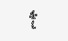 N#Cc1ccc(-c2ccc3cc(-c4ccc5c6c(-c7ccccc7)c7c(cc8c9ccccc9c9cccc7c98)c(-c7ccccc7)c6c6cccc4c65)ccc3c2)cc1